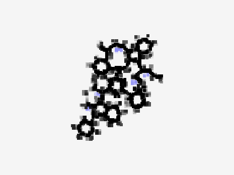 C=C/C=C(\C=C\CC)n1c2c(c3ccccc31)/C=C\C(=C)c1ccccc1N(c1nc(/C(C=C)=c3/c(=C\C)n(-c4ccccc4)c4ccccc34)nc(-c3ccccc3)n1)C2